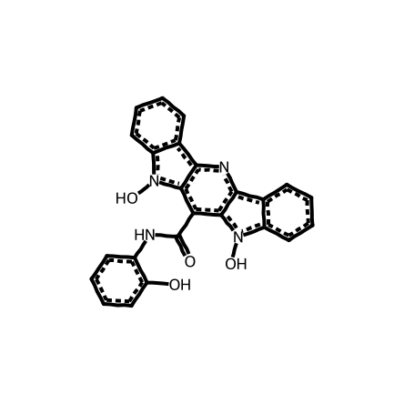 O=C(Nc1ccccc1O)c1c2c(nc3c4ccccc4n(O)c13)c1ccccc1n2O